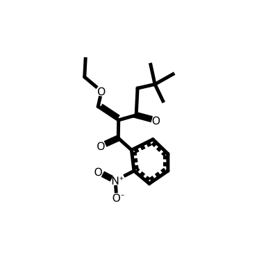 CCOC=C(C(=O)CC(C)(C)C)C(=O)c1ccccc1[N+](=O)[O-]